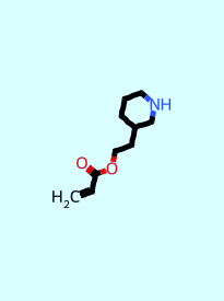 C=CC(=O)OCCC1CCCNC1